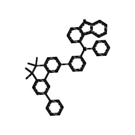 CC1(C)c2ccc(-c3ccccc3)cc2-c2cc(-c3cccc(N(c4ccccc4)c4cccc5sc6ccccc6c45)c3)ccc2C1(C)C